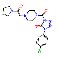 O=C(CN1CCN(C(=O)n2nnn(-c3ccc(Cl)cc3)c2=O)CC1)N1CCCC1